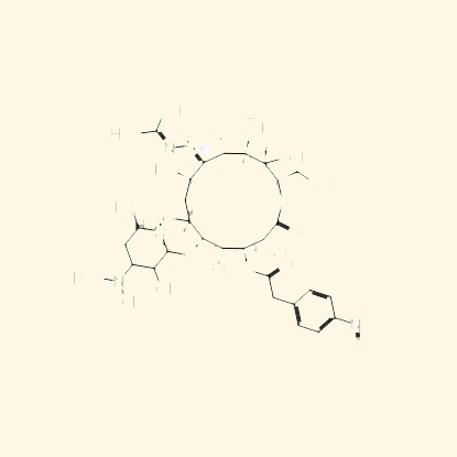 CC[C@H]1OC(=O)[C@H](C)[C@@H](OC(=O)Cc2ccc([N+](=O)[O-])cc2)[C@H](C)[C@@H](OC2OC(C)CC(N(C)C)C2O)[C@](C)(OC)C[C@@H](C)/C(=N\N=C(C)C)[C@H](C)[C@@H](O)[C@]1(C)O